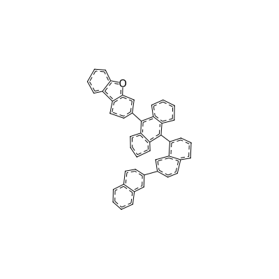 c1ccc2cc(-c3ccc4cccc(-c5c6ccccc6c(-c6ccc7c(c6)oc6ccccc67)c6ccccc56)c4c3)ccc2c1